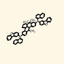 Cc1c2c3c(cccc3c3cc(N(c4ccc5oc6ccccc6c5c4)c4cccc5ccccc45)ccc13)C(C)(C)c1cc(N(c3ccc4oc5ccccc5c4c3)c3cccc4ccccc34)ccc1-2